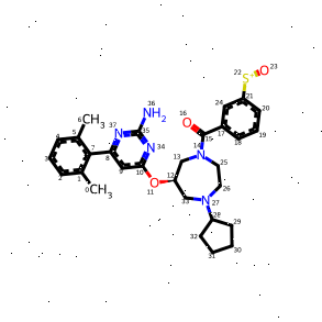 Cc1cccc(C)c1-c1cc(O[C@H]2CN(C(=O)c3cccc([S+]=O)c3)CCN(C3CCCC3)C2)nc(N)n1